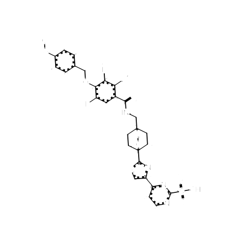 COc1ccc(COc2c(F)cc(C(=O)NCC34CCC(c5nc(-c6ccnc(S(C)(=O)=O)n6)cs5)(CC3)CC4)c(F)c2F)cc1